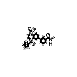 CNC(=O)c1cccc(-c2ccc3c(c2)N(C(=O)c2ccco2)CCN3C(C)=O)c1